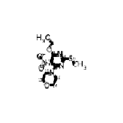 CCOc1nc(SC)nc(N2CCOCC2)c1[N+](=O)[O-]